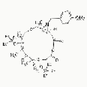 CC[Si](CC)(CC)O[C@H]1[C@@H](C)CCC[C@]2(C)[C@H](C[C@@H](C(C)=O)OC(=O)C[C@H](O[Si](CC)(CC)CC)C(C)(C)C(=O)[C@@H]1C)N2Cc1ccc(OC)cc1